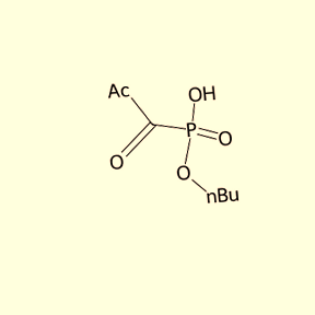 CCCCOP(=O)(O)C(=O)C(C)=O